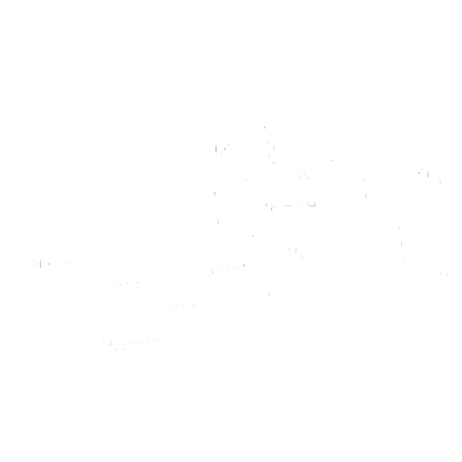 CCCCC(CC)COC(=O)C1(C)CCC(C)(C(=O)OCC(CC)CCCC)N1C